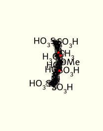 COc1cc(N=Nc2c(S(=O)(=O)O)cc3cc(-n4nc5ccc6c(S(=O)(=O)O)cc(S(=O)(=O)O)cc6c5n4)ccc3c2O)c(O)cc1N=Nc1cc(C)c(N=Nc2ccc3c(S(=O)(=O)O)cc(S(=O)(=O)O)cc3c2)cc1C